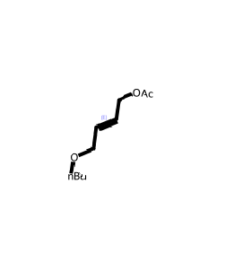 CCCCOC/C=C/COC(C)=O